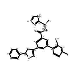 Cc1ccc(-c2cc(C(=O)N[C@H](C)c3nnc[nH]3)cc(C3=NOC(c4ccccc4)C3)c2)c(F)c1